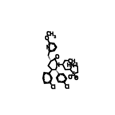 CC[C@@H](CC1NCCS1(=O)=O)N1C(=O)[C@@H](Cc2cccc(OC)n2)C[C@H](c2cccc(Cl)c2)[C@H]1c1ccc(Cl)cc1